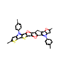 Cc1ccc(-n2c3c(c4oc(C)cc42)Cc2c-3oc3c2oc2c3sc3c4sc(C)cc4n(-c4ccc(C)cc4)c23)cc1